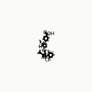 CC[C@H]1[C@H]2CC(C[C@@H]2OCc2c(C3CC3)cnn2-c2c(Cl)cccc2Cl)N1c1ccc(C(=O)O)cc1